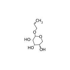 C=CCOC1OC[C@@H](O)[C@H](O)[C@@H]1O